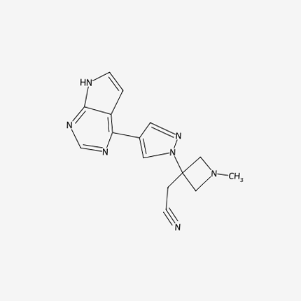 CN1CC(CC#N)(n2cc(-c3ncnc4[nH]ccc34)cn2)C1